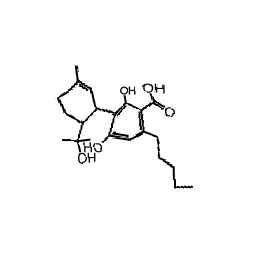 CCCCCc1cc(O)c(C2C=C(C)CCC2C(C)(C)O)c(O)c1C(=O)O